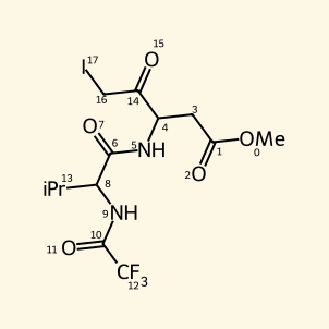 COC(=O)CC(NC(=O)C(NC(=O)C(F)(F)F)C(C)C)C(=O)CI